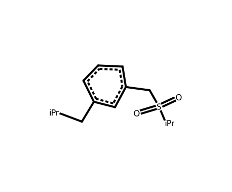 CC(C)Cc1cccc(CS(=O)(=O)C(C)C)c1